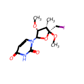 CO[C@H]1[C@H](n2ccc(=O)[nH]c2=O)O[C@](CI)(OC)[C@H]1C